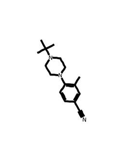 Cc1cc(C#N)ccc1N1CCN(C(C)(C)C)CC1